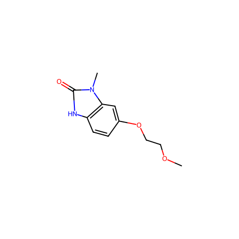 COCCOc1ccc2[nH]c(=O)n(C)c2c1